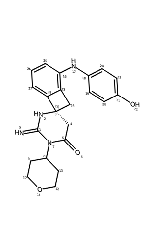 N=C1N[C@]2(CC(=O)N1C1CCOCC1)Cc1c(Nc3ccc(O)cc3)cccc12